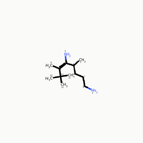 CC(=C(N)C(C)CCCN)C(C)(C)C